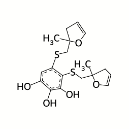 CC1(CSc2cc(O)c(O)c(O)c2SCC2(C)CC=CO2)CC=CO1